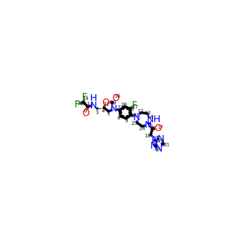 O=C(NC[C@H]1CN(c2ccc(N3CCNN(C(=O)Cn4ncnn4)CC3)c(F)c2)C(=O)O1)C(F)F